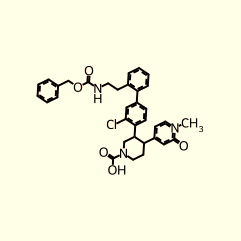 Cn1ccc(C2CCN(C(=O)O)CC2c2ccc(-c3ccccc3CCNC(=O)OCc3ccccc3)cc2Cl)cc1=O